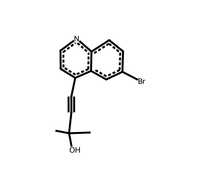 CC(C)(O)C#Cc1ccnc2ccc(Br)cc12